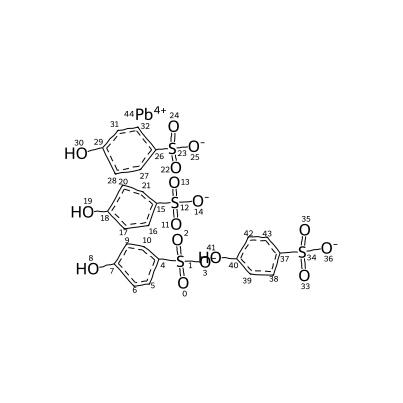 O=S(=O)([O-])c1ccc(O)cc1.O=S(=O)([O-])c1ccc(O)cc1.O=S(=O)([O-])c1ccc(O)cc1.O=S(=O)([O-])c1ccc(O)cc1.[Pb+4]